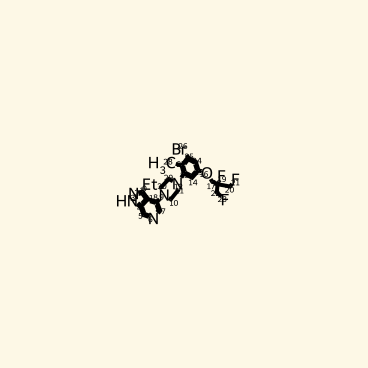 CCc1n[nH]c2cncc(N3CCN(c4cc(OCC(F)(CF)CF)cc(Br)c4C)CC3)c12